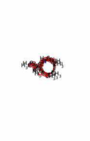 COC1C(=O)C(C)C[C@H](C)/C=C/C=C/C=C(\C)[C@@H](OC)C[C@@H]2CC[C@@H](C)[C@@](O)(O2)C(=O)C(=O)N2CCCCC2C(=O)O[C@H]([C@H](C)C[C@@H]2CC[C@@H](OC(=O)N(C)OC)[C@H](OC)C2)CC(=O)[C@H](C)/C=C(\C)[C@H]1O